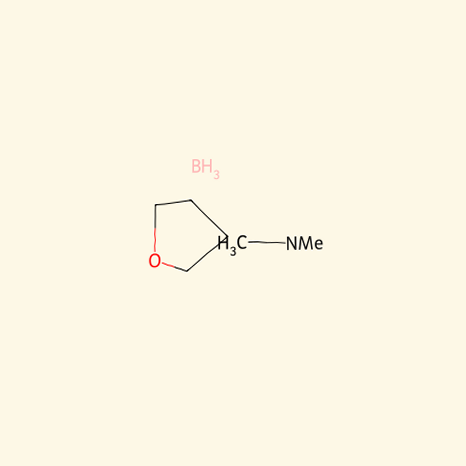 B.C1CCOC1.CNC